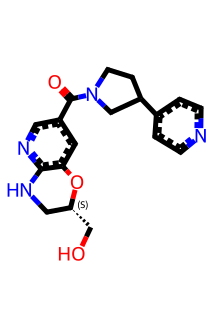 O=C(c1cnc2c(c1)O[C@H](CO)CN2)N1CCC(c2ccncc2)C1